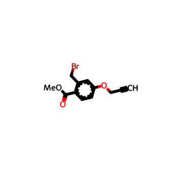 C#CCOc1ccc(C(=O)OC)c(CBr)c1